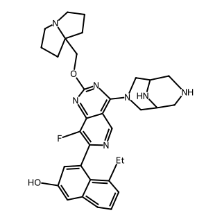 CCc1cccc2cc(O)cc(-c3ncc4c(N5CC6CNCC(C5)N6)nc(OCC56CCCN5CCC6)nc4c3F)c12